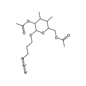 CC(=O)OCC1OC(OCCCN=[N+]=[N-])C(OC(C)=O)C(C)C1C